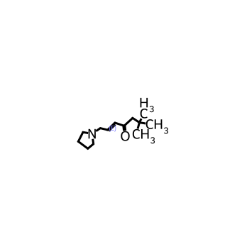 CC(C)(C)CC(=O)/C=C/CN1CCCC1